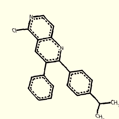 C[C](C)c1ccc(-c2nc3ccnc(Cl)c3cc2-c2ccccc2)cc1